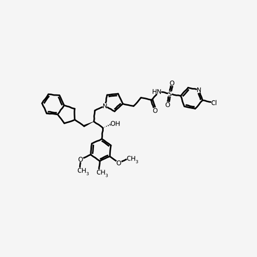 COc1cc([C@@H](O)[C@@H](CC2Cc3ccccc3C2)Cn2ccc(CCC(=O)NS(=O)(=O)c3ccc(Cl)nc3)c2)cc(OC)c1C